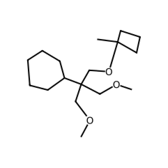 COCC(COC)(COC1(C)CCC1)C1CCCCC1